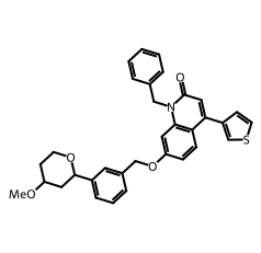 COC1CCOC(c2cccc(COc3ccc4c(-c5ccsc5)cc(=O)n(Cc5ccccc5)c4c3)c2)C1